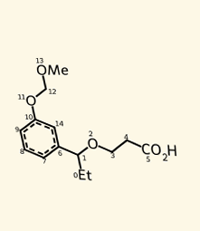 CCC(OCCC(=O)O)c1cccc(OCOC)c1